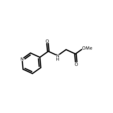 COC(=O)CNC(=O)c1cccnc1